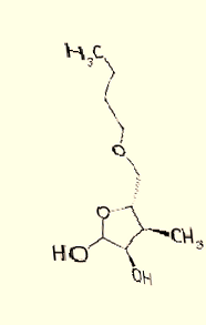 CCCCOC[C@H]1OC(O)[C@H](O)[C@@H]1C